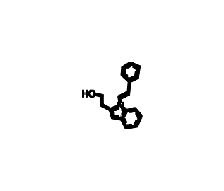 OCCc1cc2ccccc2n1C=Cc1ccccc1